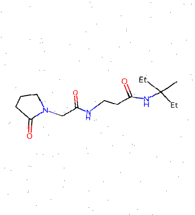 CCC(C)(CC)NC(=O)CCNC(=O)CN1CCCC1=O